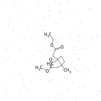 CCOC(=O)CC1(C)CCC1(C)CC(=O)OC